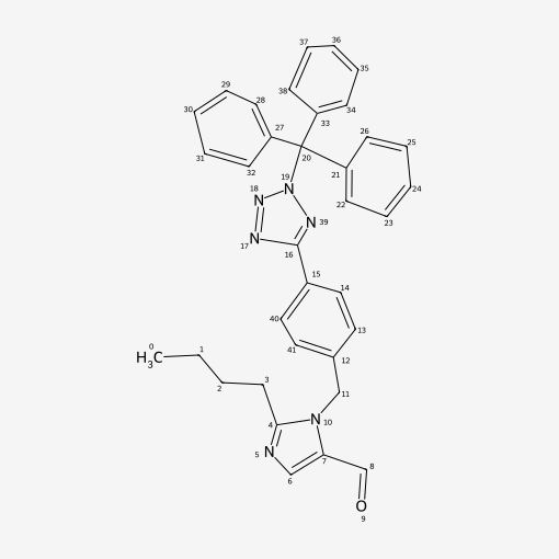 CCCCc1ncc(C=O)n1Cc1ccc(-c2nnn(C(c3ccccc3)(c3ccccc3)c3ccccc3)n2)cc1